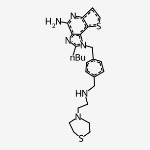 CCCCc1nc2c(N)nc3ccsc3c2n1Cc1ccc(CNCCN2CCSCC2)cc1